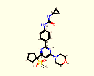 CS(=O)(=O)C1(c2cc(N3CCOCC3)nc(-c3ccc(NC(=O)NC4CC4)cc3)n2)CCCC1